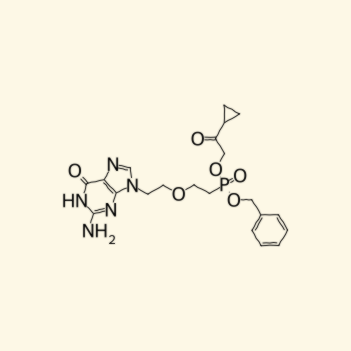 Nc1nc2c(ncn2CCOCCP(=O)(OCC(=O)C2CC2)OCc2ccccc2)c(=O)[nH]1